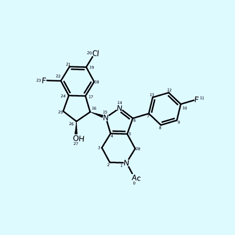 CC(=O)N1CCc2c(c(-c3ccc(F)cc3)nn2[C@@H]2c3cc(Cl)cc(F)c3C[C@@H]2O)C1